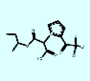 CCC(C)OC(=O)C(C(=O)O)n1cccc1C(=O)C(Cl)(Cl)Cl